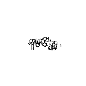 C=C(NC1(C)CC1)c1cccc(Nc2ccc(C(=N)/N=C3\NCCN3C)cc2C(C)(C)C)c1